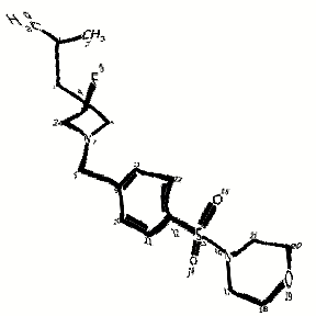 CC(C)CC1(F)CN(Cc2ccc(S(=O)(=O)N3CCOCC3)cc2)C1